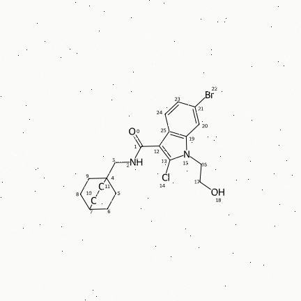 O=C(NCC12CCC(CC1)CC2)c1c(Cl)n(CCO)c2cc(Br)ccc12